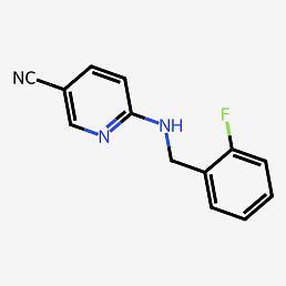 N#Cc1ccc(NCc2ccccc2F)nc1